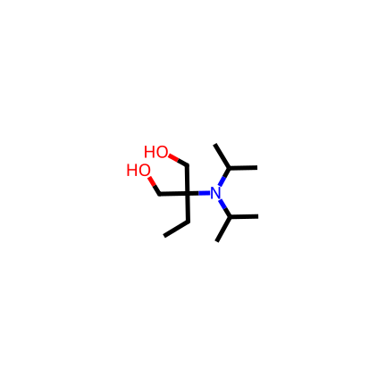 CCC(CO)(CO)N(C(C)C)C(C)C